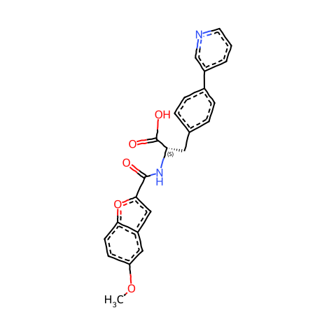 COc1ccc2oc(C(=O)N[C@@H](Cc3ccc(-c4cccnc4)cc3)C(=O)O)cc2c1